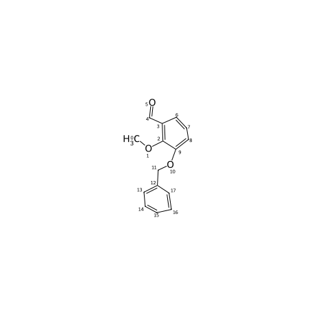 COc1c(C=O)cccc1OCc1ccccc1